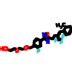 Cc1ccccc1/C=C(/CCc1nc(-c2ccc(COCCOCCO)c(F)c2)no1)C(F)(F)F